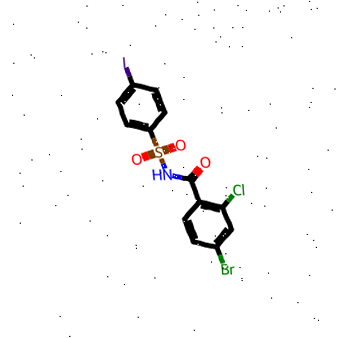 O=C(NS(=O)(=O)c1ccc(I)cc1)c1ccc(Br)cc1Cl